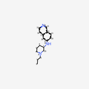 CCCN1CCC[C@@H](Nc2ccc3cnccc3c2)C1